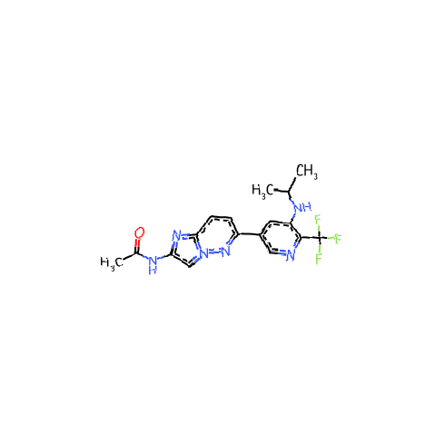 CC(=O)Nc1cn2nc(-c3cnc(C(F)(F)F)c(NC(C)C)c3)ccc2n1